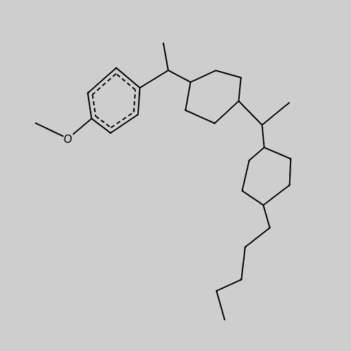 CCCCCC1CCC(C(C)C2CCC(C(C)c3ccc(OC)cc3)CC2)CC1